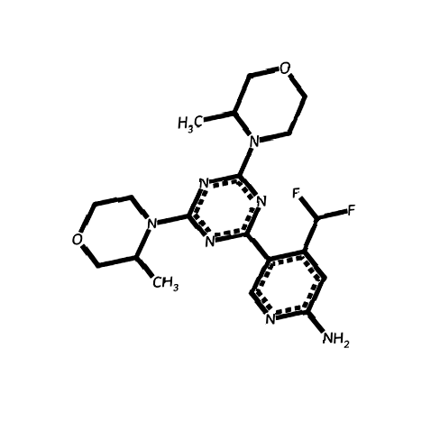 CC1COCCN1c1nc(-c2cnc(N)cc2C(F)F)nc(N2CCOCC2C)n1